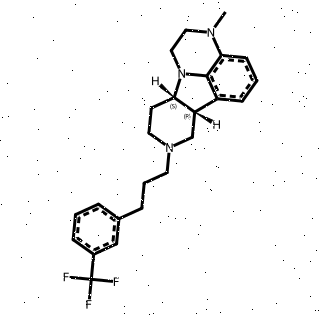 CN1CCN2c3c(cccc31)[C@@H]1CN(CCCc3cccc(C(F)(F)F)c3)CC[C@@H]12